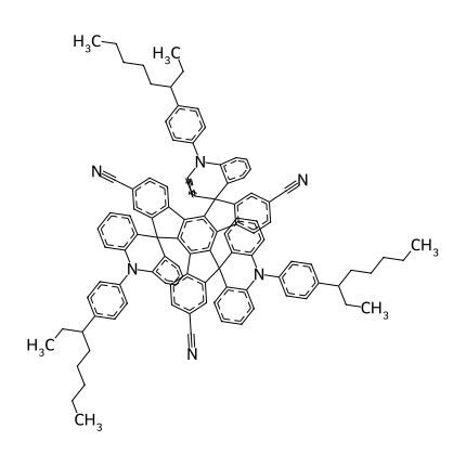 CCCCCC(CC)c1ccc(N2c3ccccc3C3(c4cc(C#N)ccc4-c4c3c3c(c5c4C4(c6cc(C#N)ccc6-5)c5ccccc5N(c5ccc(C(CC)CCCCC)cc5)c5ccccc54)C4(c5cc(C#N)ccc5-3)c3ccccc3N(c3ccc(C(CC)CCCCC)cc3)c3ccccc34)c3ccccc32)cc1